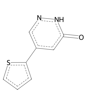 O=c1cc(-c2cccs2)cn[nH]1